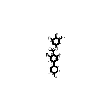 Cc1c(F)cc(OC(=O)c2c(F)cc(C3CCC(C)CC3)cc2F)cc1F